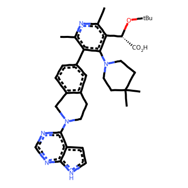 Cc1nc(C)c([C@H](OC(C)(C)C)C(=O)O)c(N2CCC(C)(C)CC2)c1-c1ccc2c(c1)CCN(c1ncnc3[nH]ccc13)C2